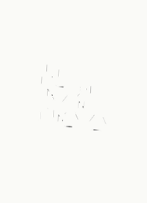 Cc1ccccc1-c1ccncc1N(CC(F)F)C(=O)c1cc(C(F)(F)F)nc(C(F)(F)F)c1